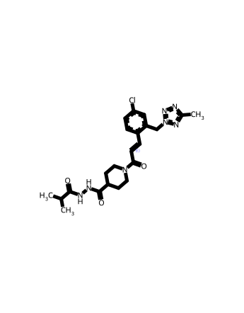 Cc1nnn(Cc2cc(Cl)ccc2/C=C/C(=O)N2CCC(C(=O)NNC(=O)C(C)C)CC2)n1